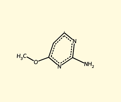 COc1c[c]nc(N)n1